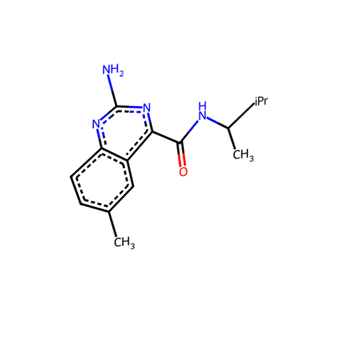 Cc1ccc2nc(N)nc(C(=O)NC(C)C(C)C)c2c1